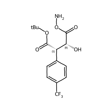 CC(C)(C)OC(=O)[C@@H](c1ccc(C(F)(F)F)cc1)[C@@H](O)C(=O)ON